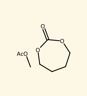 COC(C)=O.O=C1OCCCCO1